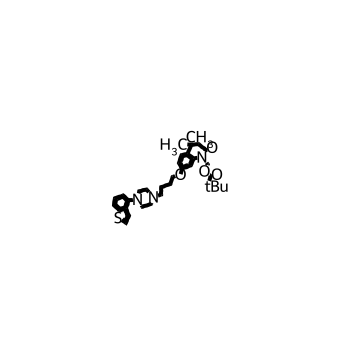 CC(C)(C)C(=O)OCN1C(=O)CC(C)(C)c2ccc(OCCCCN3CCN(c4cccc5sccc45)CC3)cc21